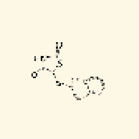 O=C1NC(=O)C(Sc2ccc3ccccc3c2)S1